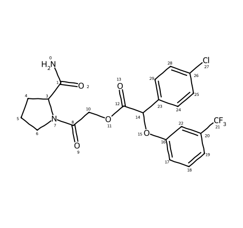 NC(=O)C1CCCN1C(=O)COC(=O)C(Oc1cccc(C(F)(F)F)c1)c1ccc(Cl)cc1